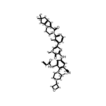 C=CC(=O)Nc1cc(Nc2nc(-c3ccnc(N4CCn5c(cc6c5CC(C)(C)C6)C4=O)c3C)cn(C)c2=O)cc(C#N)c1N1CCN(C2COC2)C[C@@H]1C